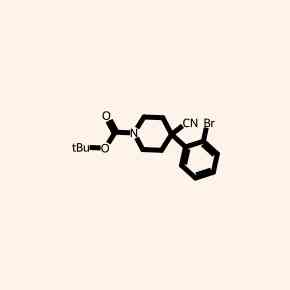 CC(C)(C)OC(=O)N1CCC(C#N)(c2ccccc2Br)CC1